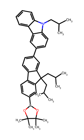 CC(C)Cn1c2ccccc2c2cc(-c3ccc4c(c3)C(CC(C)C)(CC(C)C)c3cc(B5OC(C)(C)C(C)(C)O5)ccc3-4)ccc21